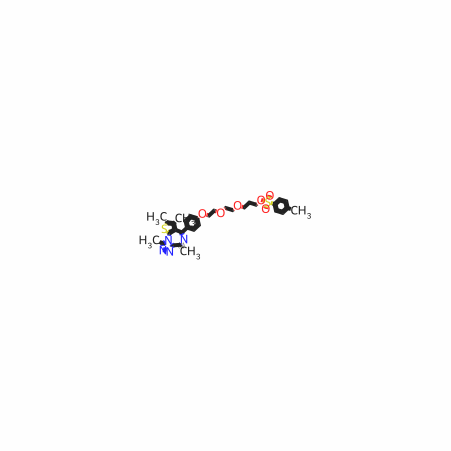 Cc1ccc(S(=O)(=O)OCCCOCCOCCOc2ccc(C3=N[C@@H](C)c4nnc(C)n4-c4sc(C)c(C)c43)cc2)cc1